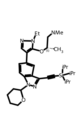 CCn1ncc(-c2ccc3c(c2)c(C#C[Si](C(C)C)(C(C)C)C(C)C)nn3C2CCCCO2)c1O[C@@H](C)CNC